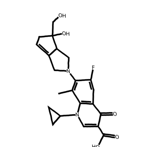 Cc1c(N2CC3=CCC(O)(CO)C3C2)c(F)cc2c(=O)c(C(=O)O)cn(C3CC3)c12